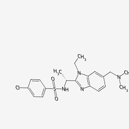 CCn1c([C@@H](C)NS(=O)(=O)c2ccc(Cl)cc2)nc2ccc(CN(C)C)cc21